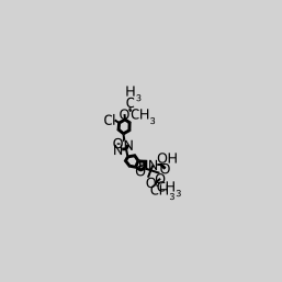 CC(C)Oc1ccc(-c2nc(-c3ccc4oc(C5(NC(=O)O)COC(C)(C)OC5)cc4c3)no2)cc1Cl